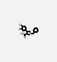 O=C(O)C1CN(Cc2ccccc2)CC1c1ccc(Cl)c(F)c1